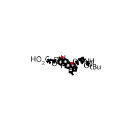 C=C(C)C1CC[C@]2(CC(=O)N3CC[C@@H](NC(=O)OC(C)(C)C)C3)CC[C@]3(C)[C@H](CC[C@@H]4[C@@]5(C)CC[C@H](OC(=O)CC(C)(C)C(=O)O)C(C)(C)[C@@H]5CC[C@]43C)[C@@H]12